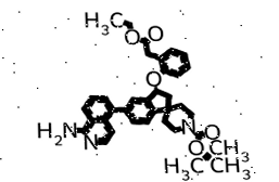 CCOC(=O)Cc1ccccc1O[C@H]1CC2(CCN(C(=O)OC(C)(C)C)CC2)c2ccc(-c3cccc4c(N)nccc34)cc21